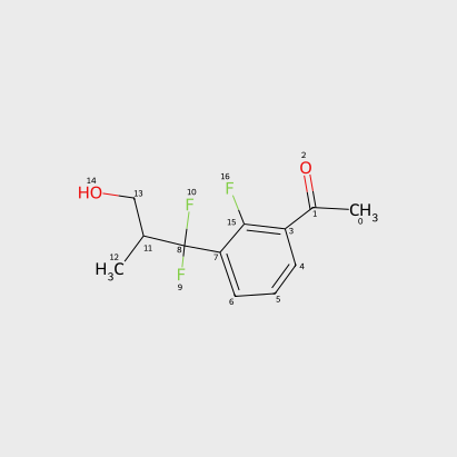 CC(=O)c1cccc(C(F)(F)C(C)CO)c1F